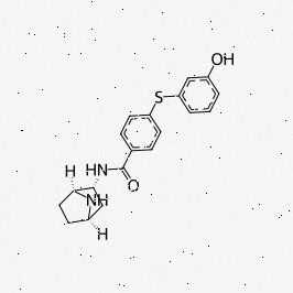 O=C(N[C@@H]1C[C@H]2CC[C@@H]1N2)c1ccc(Sc2cccc(O)c2)cc1